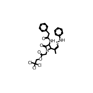 CC(=CSNc1ccccc1)C1C(NC(=O)Cc2ccccc2)C(=O)N1CC(=O)OCC(Cl)(Cl)Cl